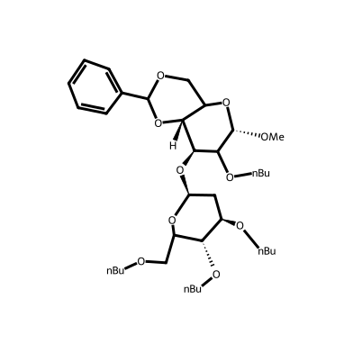 CCCCOCC1O[C@@H](O[C@@H]2C(OCCCC)[C@@H](OC)OC3COC(c4ccccc4)O[C@H]32)C[C@@H](OCCCC)[C@@H]1OCCCC